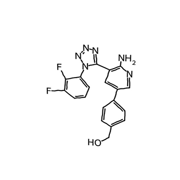 Nc1ncc(-c2ccc(CO)cc2)cc1-c1nnnn1-c1cccc(F)c1F